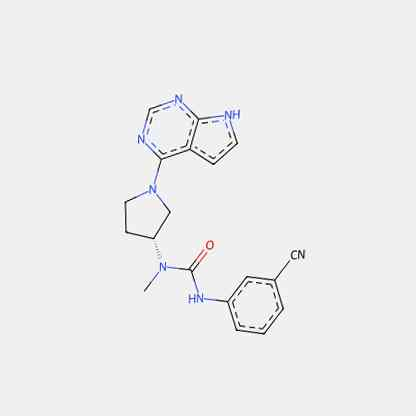 CN(C(=O)Nc1cccc(C#N)c1)[C@@H]1CCN(c2ncnc3[nH]ccc23)C1